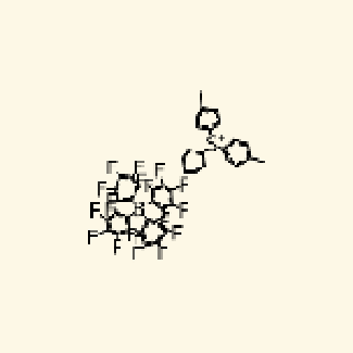 Cc1ccc([S+](c2ccccc2)c2ccc(C)cc2)cc1.Fc1c(F)c(F)c([B-](c2c(F)c(F)c(F)c(F)c2F)(c2c(F)c(F)c(F)c(F)c2F)c2c(F)c(F)c(F)c(F)c2F)c(F)c1F